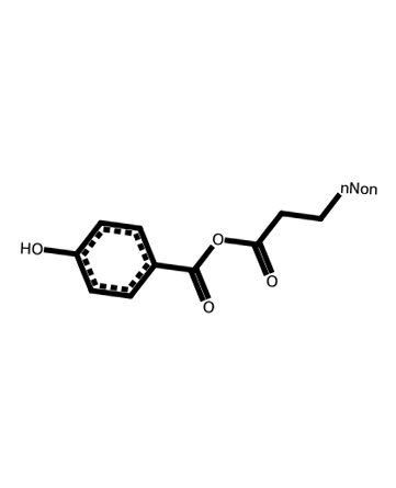 CCCCCCCCCCCC(=O)OC(=O)c1ccc(O)cc1